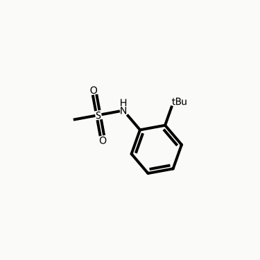 CC(C)(C)c1ccccc1NS(C)(=O)=O